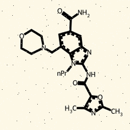 CCCn1c(NC(=O)c2oc(C)nc2C)nc2cc(C(N)=O)cc(CN3CCOCC3)c21